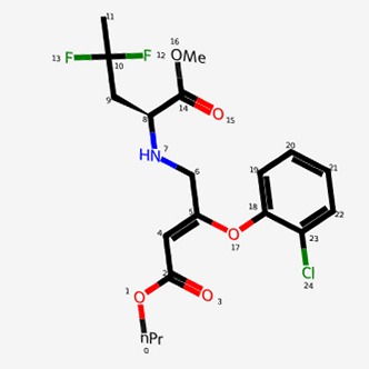 CCCOC(=O)/C=C(/CN[C@@H](CC(C)(F)F)C(=O)OC)Oc1ccccc1Cl